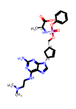 C[C@H](N[P@](=O)(OC[C@@H]1C=C[C@H](n2cnc3c(NCCN(C)C)nc(N)nc32)C1)Oc1ccccc1)C(=O)O